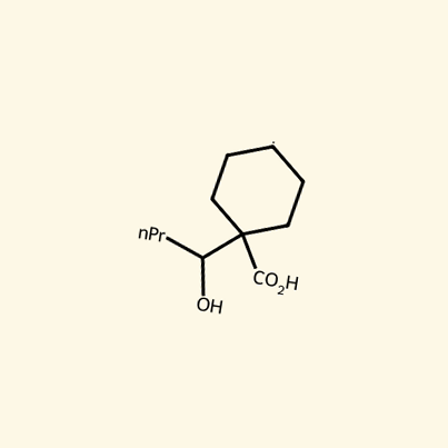 CCCC(O)C1(C(=O)O)CC[CH]CC1